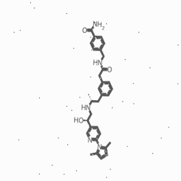 Cc1ccc(C)n1-c1ccc([C@@H](O)CN[C@H](C)Cc2cccc(CC(=O)NCc3ccc(C(N)=O)cc3)c2)cn1